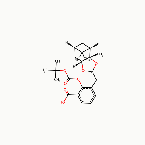 CC(C)(C)OC(=O)Oc1c(CB2O[C@@H]3C[C@@H]4C[C@@H](C4(C)C)[C@]3(C)O2)cccc1C(=O)O